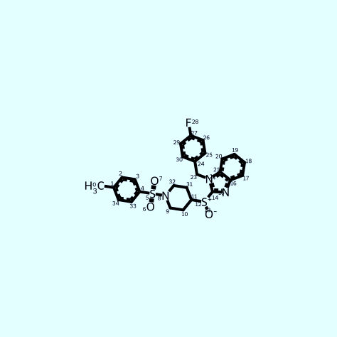 Cc1ccc(S(=O)(=O)N2CCC([S+]([O-])c3nc4ccccc4n3Cc3ccc(F)cc3)CC2)cc1